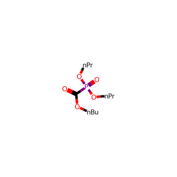 CCCCOC(=O)P(=O)(OCCC)OCCC